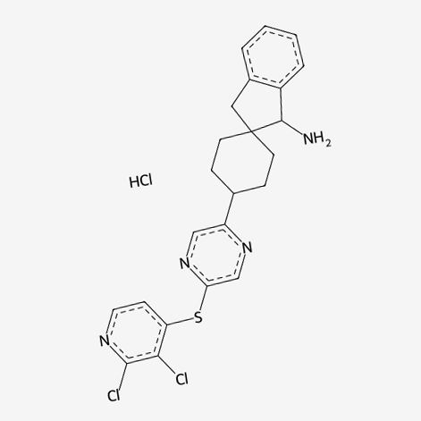 Cl.NC1c2ccccc2CC12CCC(c1cnc(Sc3ccnc(Cl)c3Cl)cn1)CC2